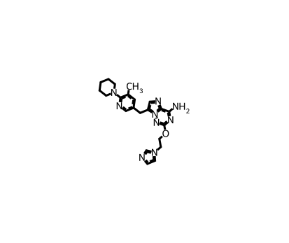 Cc1cc(Cc2cnc3c(N)nc(OCCn4ccnc4)nn23)cnc1N1CCCCC1